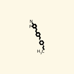 CCCC[C@H]1CC[C@H](CCC2CC=C(CCc3ccc(C#N)c(F)c3)CC2)CC1